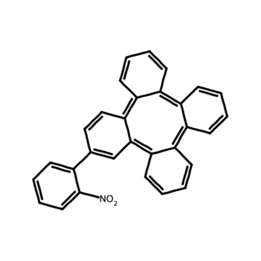 O=[N+]([O-])c1ccccc1-c1ccc2/c(c1)=c1/cccc/c1=c1\cccc\c1=c1/cccc/c1=2